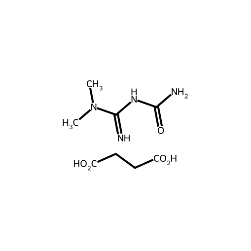 CN(C)C(=N)NC(N)=O.O=C(O)CCC(=O)O